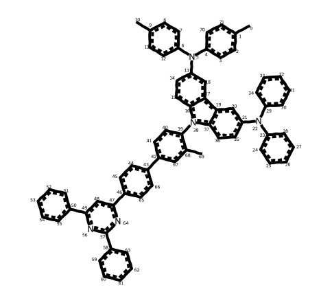 Cc1ccc(N(c2ccc(C)cc2)c2ccc3c(c2)c2cc(N(c4ccccc4)c4ccccc4)ccc2n3-c2ccc(-c3ccc(-c4cc(-c5ccccc5)nc(-c5ccccc5)n4)cc3)cc2C)cc1